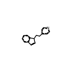 C1=CC(CCc2ccncc2)c2ccccc21